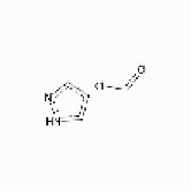 O=CCl.c1cn[nH]c1